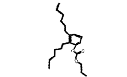 CCCCCCc1cccc(OC(=O)OCCC)c1CCCCCC